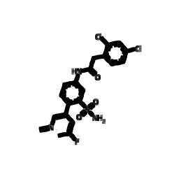 C=N/C=C(\C=C(/C)F)c1ccc(NC(=O)Cc2ccc(Cl)cc2Cl)cc1S(N)(=O)=O